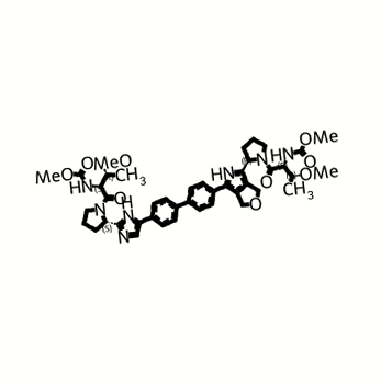 COC(=O)N[C@H](C(=O)N1CCC[C@@H]1c1[nH]c(-c2ccc(-c3ccc(-c4cnc([C@@H]5CCCN5C(=O)[C@@H](NC(=O)OC)[C@@H](C)OC)[nH]4)cc3)cc2)c2c1COC2)[C@@H](C)OC